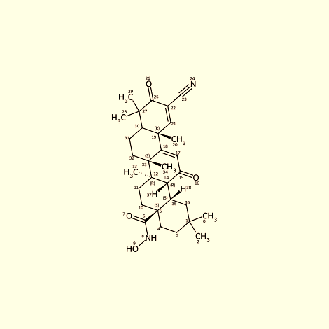 CC1(C)CC[C@]2(C(=O)NO)CC[C@]3(C)[C@H](C(=O)C=C4[C@@]5(C)C=C(C#N)C(=O)C(C)(C)C5CC[C@]43C)[C@@H]2C1